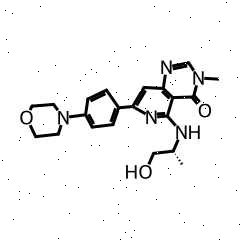 C[C@H](CO)Nc1nc(-c2ccc(N3CCOCC3)cc2)cc2ncn(C)c(=O)c12